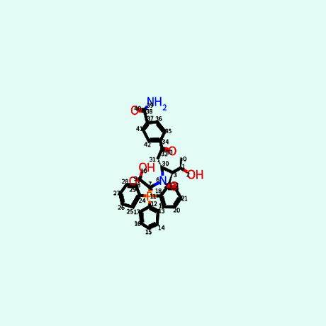 C[C@@H](O)[C@H]1C(=O)N(C(C(=O)O)=P(c2ccccc2)(c2ccccc2)c2ccccc2)[C@@H]1CC(=O)c1ccc(C(N)=O)cc1